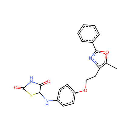 Cc1oc(-c2ccccc2)nc1CCOc1ccc(NC2SC(=O)NC2=O)cc1